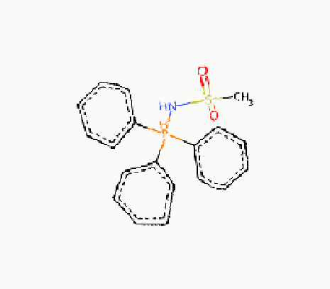 CS(=O)(=O)N[PH](c1ccccc1)(c1ccccc1)c1ccccc1